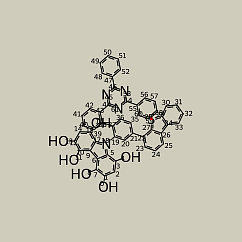 Oc1cc(O)c2c(c1O)c1c(O)c(O)cc(O)c1n2-c1cc(-c2cccc3c2sc2ccccc23)ccc1-c1ccccc1-c1nc(-c2ccccc2)nc(-c2ccccc2)n1